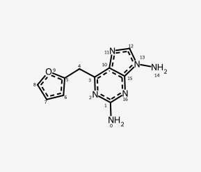 Nc1nc(Cc2ccco2)c2ncn(N)c2n1